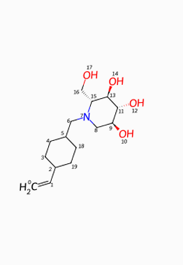 C=CC1CCC(CN2C[C@H](O)[C@@H](O)[C@H](O)[C@H]2CO)CC1